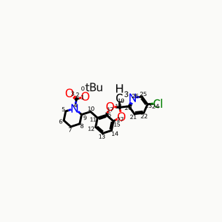 CC(C)(C)OC(=O)N1CCCCC1Cc1cccc2c1OC(C)(c1ccc(Cl)cn1)O2